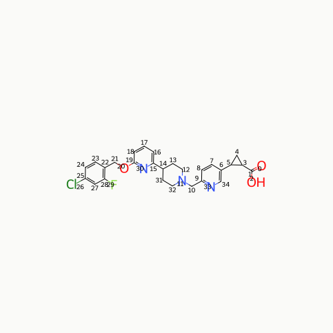 O=C(O)C1CC1c1ccc(CN2CCC(c3cccc(OCc4ccc(Cl)cc4F)n3)CC2)nc1